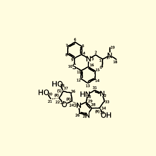 CC(CN1c2ccccc2Sc2ccccc21)N(C)C.OC[C@H]1O[C@@H](n2cnc3c2NC=NC[C@H]3O)C[C@@H]1O